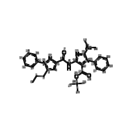 CCCc1cc(C(=O)Nc2nc([As](C)C)n(-c3ccccc3)c2C(=O)OC(C)(C)C)nn1-c1ccccc1